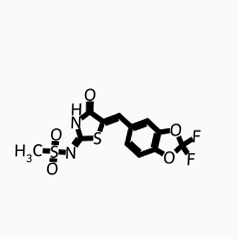 CS(=O)(=O)/N=C1\NC(=O)/C(=C/c2ccc3c(c2)OC(F)(F)O3)S1